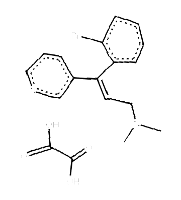 CN(C)CC=C(c1cccnc1)c1ccccc1Br.O=C(O)C(=O)O